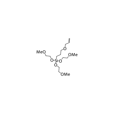 C=CCOCCC[Si](OCCOC)(OCCOC)OCCOC